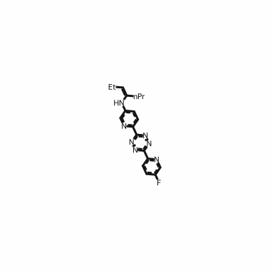 CC/C=C(/CCC)Nc1ccc(-c2nnc(-c3ccc(F)cn3)nn2)nc1